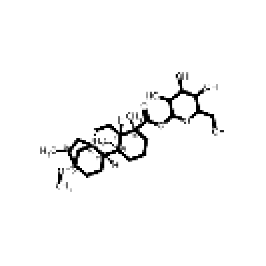 CO[C@]12CC[C@@H]3[C@](CC[C@H]4[C@@]3(C)CCC[C@@]4(C)C(=O)OC3OC(CO)C(O)C(O)C3O)(C[C@@H]1C)C2